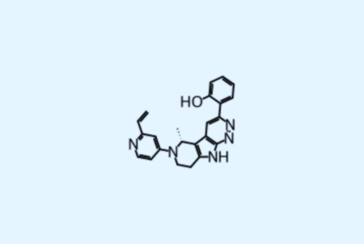 C=Cc1cc(N2CCc3[nH]c4nnc(-c5ccccc5O)cc4c3[C@H]2C)ccn1